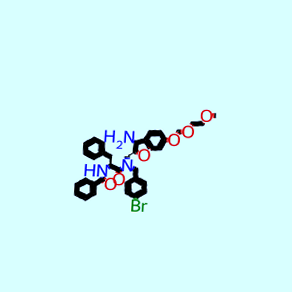 COCCOCOc1ccc2c(c1)O[C@H](CN(Cc1ccc(Br)cc1)C(=O)[C@H](Cc1ccccc1)NC(=O)c1ccccc1)[C@H]2N